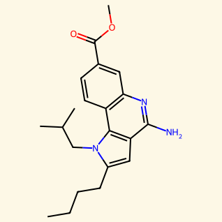 CCCCc1cc2c(N)nc3cc(C(=O)OC)ccc3c2n1CC(C)C